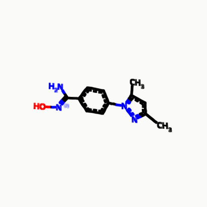 Cc1cc(C)n(-c2ccc(/C(N)=N/O)cc2)n1